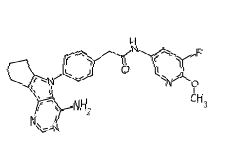 COc1ncc(NC(=O)Cc2ccc(-n3c4c(c5ncnc(N)c53)CCC4)cc2)cc1F